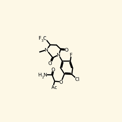 CC(=O)C(Oc1cc(N2C(=O)CC(C(F)(F)F)N(C)C2=O)c(F)cc1Cl)C(N)=O